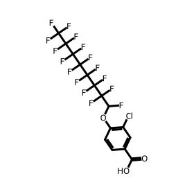 O=C(O)c1ccc(OC(F)C(F)(F)C(F)(F)C(F)(F)C(F)(F)C(F)(F)C(F)(F)C(F)(F)F)c(Cl)c1